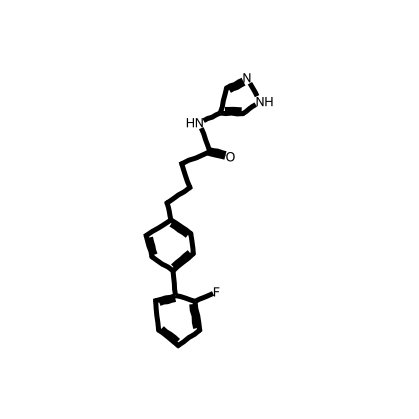 O=C(CCCc1ccc(-c2ccccc2F)cc1)Nc1cn[nH]c1